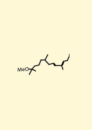 COC(C)(C)CCCC(C)CC=CC(C)=CCI